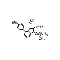 CCCCCCC1=Cc2c(-c3ccc(C(C)CC)cc3)cccc2[CH]1[Zr+2][Si](C)C.[Cl-].[Cl-]